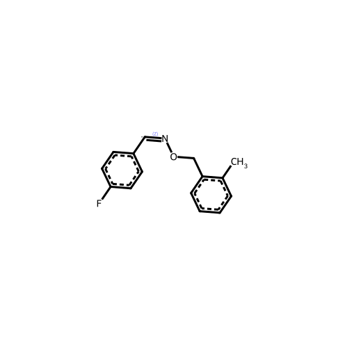 Cc1ccccc1CO/N=[C]\c1ccc(F)cc1